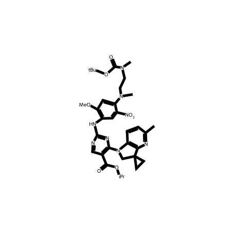 COc1cc(N(C)CCN(C)C(=O)OC(C)(C)C)c([N+](=O)[O-])cc1Nc1ncc(C(=O)OC(C)C)c(N2CC3(CC3)c3nc(C)ccc32)n1